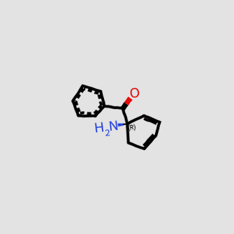 N[C@@]1(C(=O)c2ccccc2)C=CC=CC1